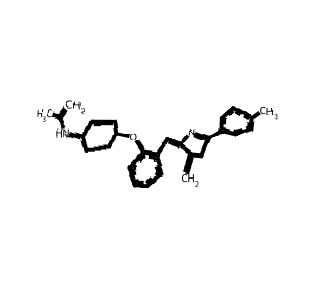 C=C(C)NC1C=CC(Oc2ccccc2/C=C2/N=C(c3ccc(C)cc3)CC2=C)CC1